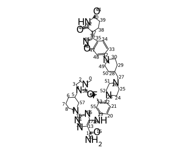 CN1CCN(C2CCCN(c3nnc(C(N)=O)c(Nc4ccc(N5CCN(CC6CCN(c7ccc8c(C9CCC(=O)NC9=O)noc8c7)CC6)CC5)c(F)c4)n3)C2)C1=O